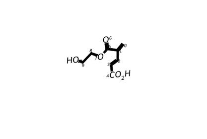 C=C(C=CC(=O)O)C(=O)OCCO